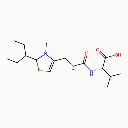 CCC(CC)C1SC=C(CNC(=O)N[C@H](C(=O)O)C(C)C)N1C